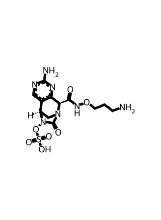 NCCCONC(=O)[C@@H]1c2nc(N)ncc2[C@H]2CN1C(=O)N2OS(=O)(=O)O